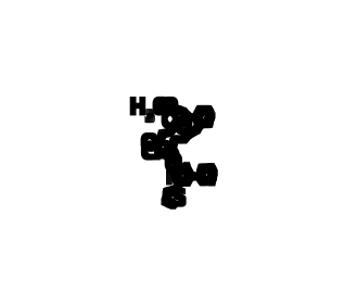 COC(=O)CCCOC(CC(=O)OC)c1ccccc1CCCCCCOc1cc(-c2ccccc2)cc(-c2cccs2)n1